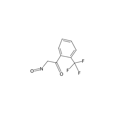 O=NCC(=O)c1ccccc1C(F)(F)F